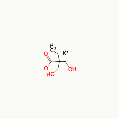 CCC(CO)(CO)C(=O)[O-].[K+]